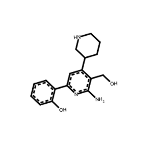 Nc1nc(-c2ccccc2O)cc(C2CCCNC2)c1CO